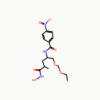 CCOCOCC(CC(C)C(=O)NO)NC(=O)c1ccc([N+](=O)[O-])cc1